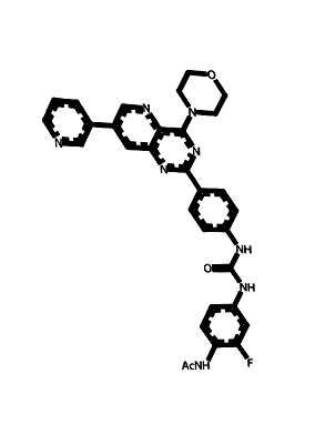 CC(=O)Nc1ccc(NC(=O)Nc2ccc(-c3nc(N4CCOCC4)c4ncc(-c5cccnc5)cc4n3)cc2)cc1F